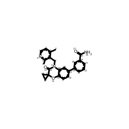 Cc1ccnc(C)c1CN1C(=O)C2(CC2)Oc2ccc(-c3cccc(C(N)=O)c3)cc21